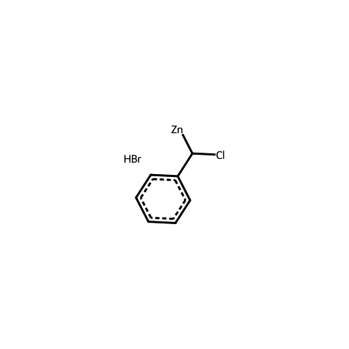 Br.Cl[CH]([Zn])c1ccccc1